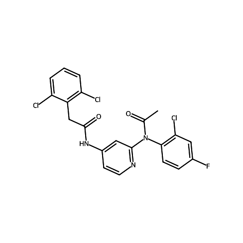 CC(=O)N(c1cc(NC(=O)Cc2c(Cl)cccc2Cl)ccn1)c1ccc(F)cc1Cl